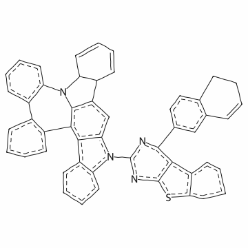 C1=CC2c3cc4c(c5c3N(c3ccccc3-c3ccccc3-5)C2C=C1)c1ccccc1n4-c1nc(-c2ccc3c(c2)C=CCC3)c2c(n1)sc1ccccc12